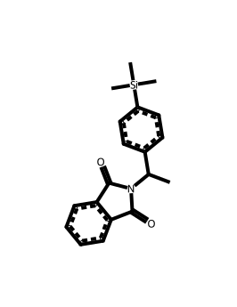 CC(c1ccc([Si](C)(C)C)cc1)N1C(=O)c2ccccc2C1=O